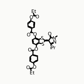 CCC(=O)Oc1ccc(C(=O)Oc2ccc(OC(=O)c3ccc(OC(=O)CC)cc3)c3c2SC(=C2C(=O)N(C)N=C2C(C)C)S3)cc1